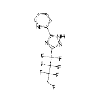 FCC(F)(F)C(F)(F)C(F)(F)c1n[nH]c(-c2ccccn2)n1